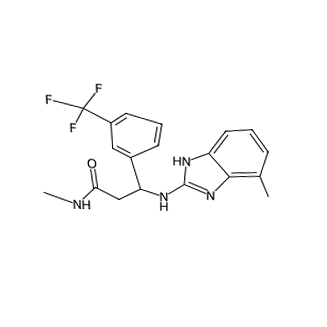 CNC(=O)CC(Nc1nc2c(C)cccc2[nH]1)c1cccc(C(F)(F)F)c1